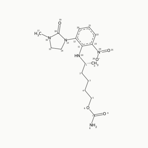 C[C@H](CCCCOC(N)=O)Nc1c(N2CCN(C)C2=O)cccc1[N+](=O)[O-]